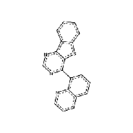 c1cnc2c(-c3ncnc4c3sc3ccccc34)cccc2c1